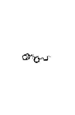 C/C=C\Oc1cccc(OC2CC3CCC(C2)N3C)n1